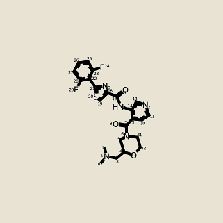 CN(C)CC1CN(C(=O)c2ccncc2NC(=O)c2csc(-c3c(F)cccc3F)n2)CCO1